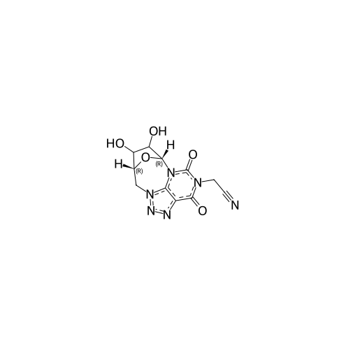 N#CCn1c(=O)c2nnn3c2n(c1=O)[C@@H]1O[C@H](C3)C(O)C1O